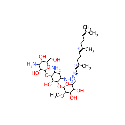 COC1C(OC2C(N)CC(N)C(OC3OC(CO)C(O)C(N)C3O)C2O)OC(C/N=C/C=C(\C)CC/C=C(\C)CCC=C(C)C)C(O)C1O